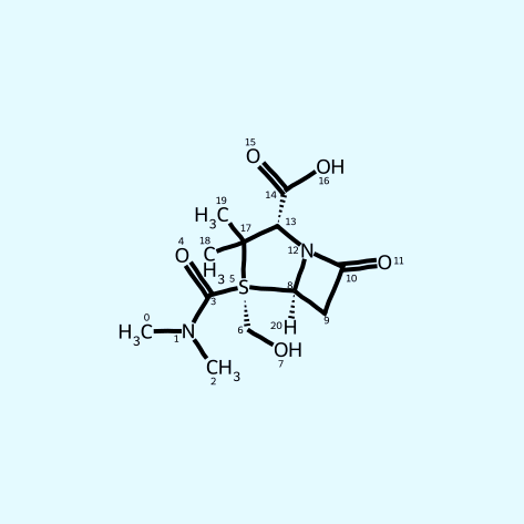 CN(C)C(=O)[S@]1(CO)[C@@H]2CC(=O)N2[C@@H](C(=O)O)C1(C)C